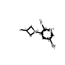 CC1CN(c2cc(Br)cnc2F)C1